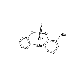 CCCCc1ccccc1OP(=S)(S)Oc1ccccc1CCCC